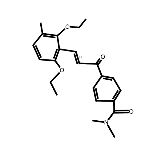 CCOc1ccc(C)c(OCC)c1/C=C/C(=O)c1ccc(C(=O)N(C)C)cc1